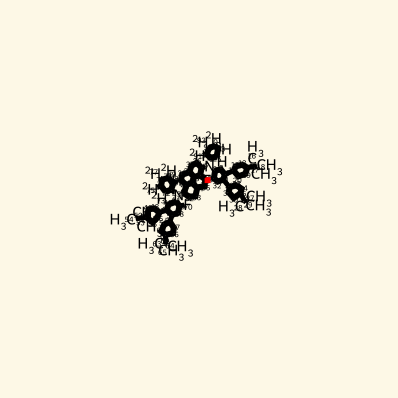 [2H]c1c([2H])c([2H])c(N(c2cc(-c3ccc(C(C)(C)C)cc3)c(-c3ccc(C(C)(C)C)cc3)cc2F)c2ccc3ccc4c(N(c5cc(-c6ccc(C(C)(C)C)cc6)c(-c6ccc(C(C)(C)C)cc6)cc5F)c5c([2H])c([2H])c([2H])c([2H])c5[2H])ccc5ccc2c3c54)c([2H])c1[2H]